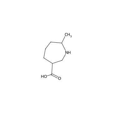 CC1CCCC(C(=O)O)CN1